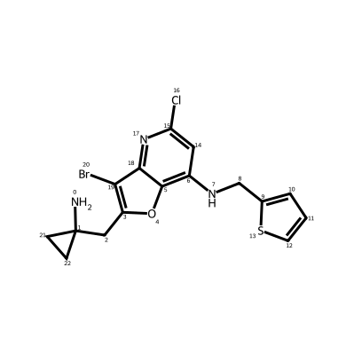 NC1(Cc2oc3c(NCc4cccs4)cc(Cl)nc3c2Br)CC1